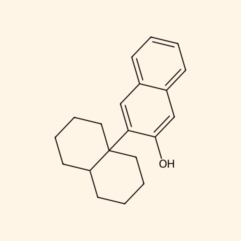 Oc1cc2ccccc2cc1C12CCCCC1CCCC2